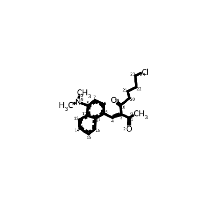 CC(=O)C(=Cc1ccc(N(C)C)c2ccccc12)C(=O)CCCCCl